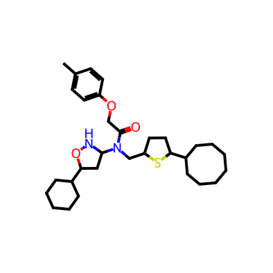 Cc1ccc(OCC(=O)N(CC2CCC(C3CCCCCCC3)S2)C2CC(C3CCCCC3)ON2)cc1